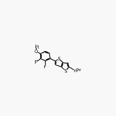 CCCc1cc2sc(-c3ccc(OCC)c(F)c3F)cc2s1